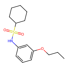 CCCOc1cccc(NS(=O)(=O)C2CCCCC2)c1